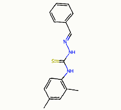 Cc1ccc(NC(=S)N/N=C/c2ccccc2)c(C)c1